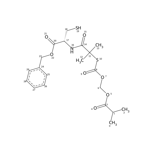 CC(C)C(=O)OCOC(=O)SC(C)(C)C(=O)N[C@@H](CS)C(=O)OCc1ccccc1